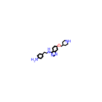 Nc1ccc(CCNc2ncnc3cc(OCC4CCNCC4)ccc23)cc1